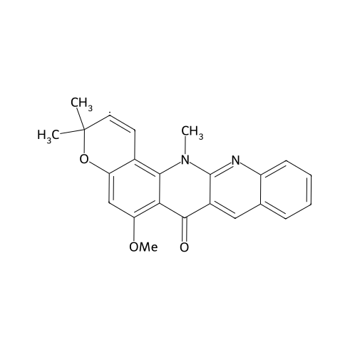 COc1cc2c(c3c1c(=O)c1cc4ccccc4nc1n3C)C=[C]C(C)(C)O2